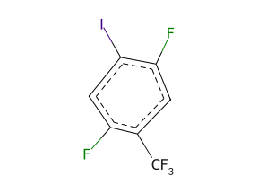 Fc1cc(C(F)(F)F)c(F)cc1I